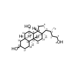 C[C@H](CCO)[C@H]1CC[C@H]2[C@@H]3[C@@H](O)C[C@@H]4C[C@H](O)CC[C@]4(C)[C@H]3CC[C@]12C